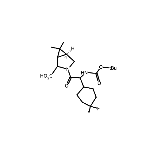 CC(C)(C)OC(=O)NC(C(=O)N1C[C@H]2C(C1C(=O)O)C2(C)C)C1CCC(F)(F)CC1